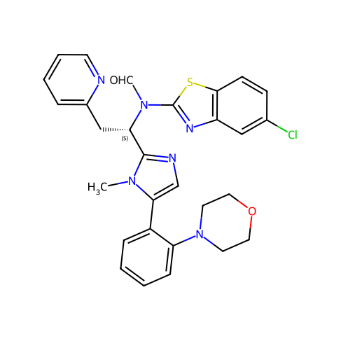 Cn1c(-c2ccccc2N2CCOCC2)cnc1[C@H](Cc1ccccn1)N(C=O)c1nc2cc(Cl)ccc2s1